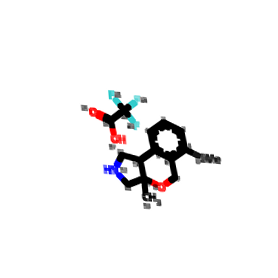 CSc1cccc2c1COC1(C)CNCC21.O=C(O)C(F)(F)F